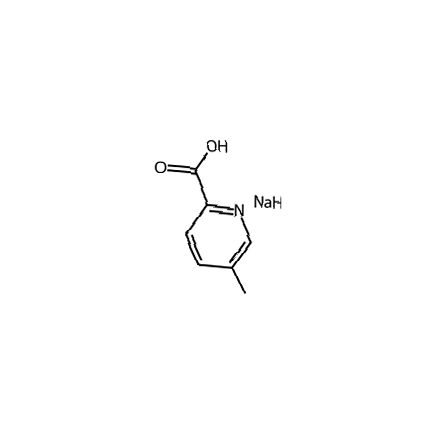 Cc1ccc(C(=O)O)nc1.[NaH]